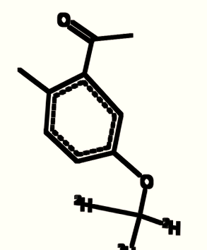 [2H]C([2H])([2H])Oc1ccc(C)c(C(C)=O)c1